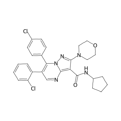 O=C(NC1CCCC1)c1c(N2CCOCC2)nn2c(-c3ccc(Cl)cc3)c(-c3ccccc3Cl)cnc12